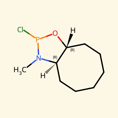 CN1[C@@H]2CCCCCC[C@H]2OP1Cl